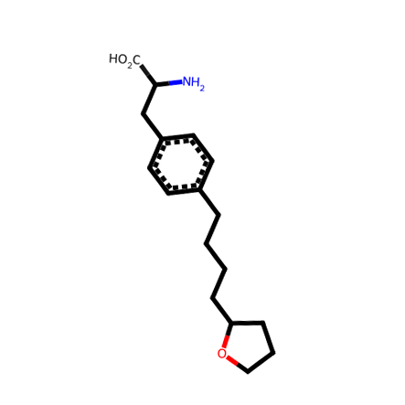 NC(Cc1ccc(CCCCC2CCCO2)cc1)C(=O)O